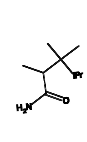 CC(C)C(C)(C)C(C)C(N)=O